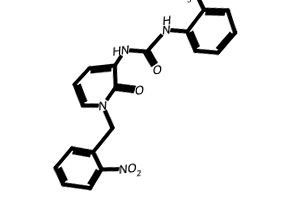 Cc1ccccc1NC(=O)Nc1cccn(Cc2ccccc2[N+](=O)[O-])c1=O